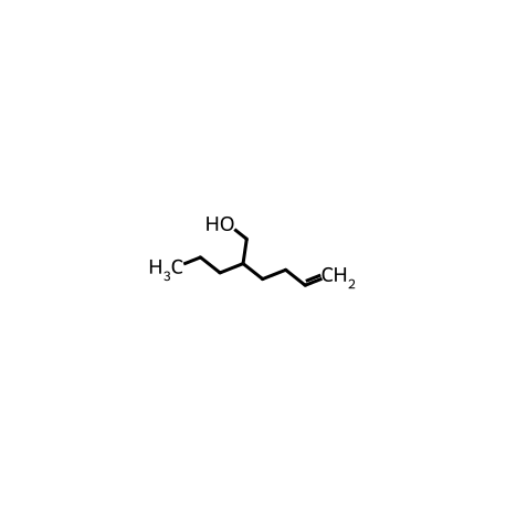 C=CCCC(CO)CCC